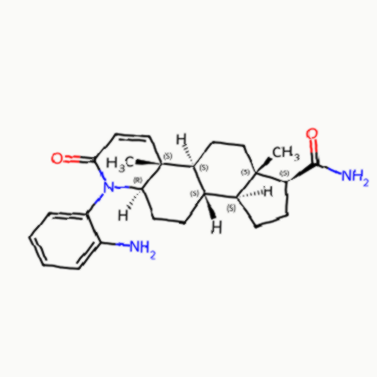 C[C@]12C=CC(=O)N(c3ccccc3N)[C@@H]1CC[C@@H]1[C@@H]2CC[C@]2(C)[C@@H](C(N)=O)CC[C@@H]12